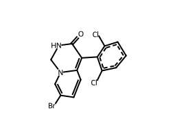 O=C1NCN2C=C(Br)C=CC2=C1c1c(Cl)cccc1Cl